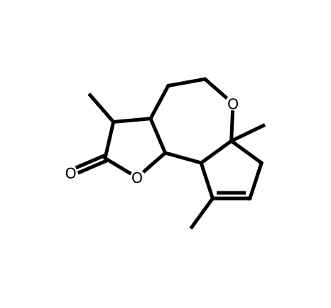 CC1=CCC2(C)OCCC3C(C)C(=O)OC3C12